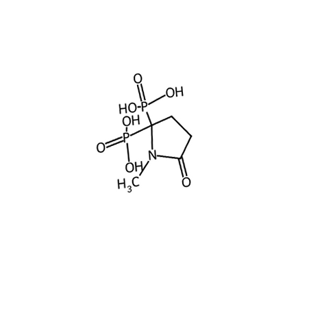 CN1C(=O)CCC1(P(=O)(O)O)P(=O)(O)O